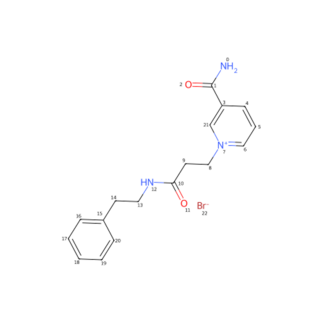 NC(=O)c1ccc[n+](CCC(=O)NCCc2ccccc2)c1.[Br-]